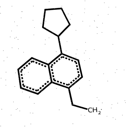 [CH2]Cc1ccc(C2CCCC2)c2ccccc12